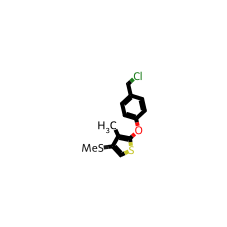 CSc1csc(Oc2ccc(CCl)cc2)c1C